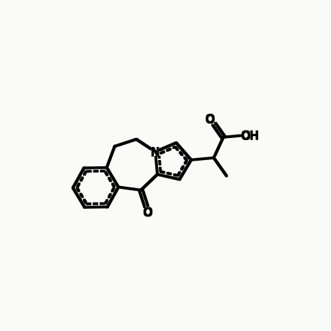 CC(C(=O)O)c1cc2n(c1)CCc1ccccc1C2=O